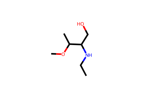 CCNC(CO)C(C)OC